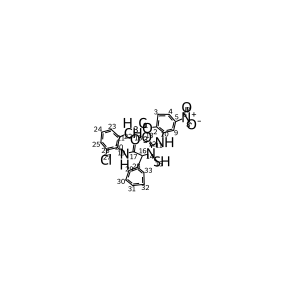 COc1ccc([N+](=O)[O-])cc1NC(=O)N(S)C(C(=O)Nc1c(C)cccc1Cl)c1ccccc1